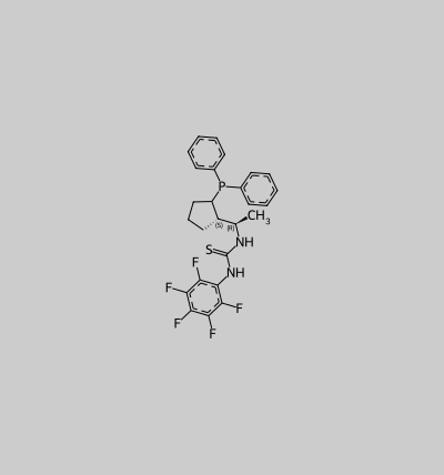 C[C@@H](NC(=S)Nc1c(F)c(F)c(F)c(F)c1F)[C@@H]1CCCC1P(c1ccccc1)c1ccccc1